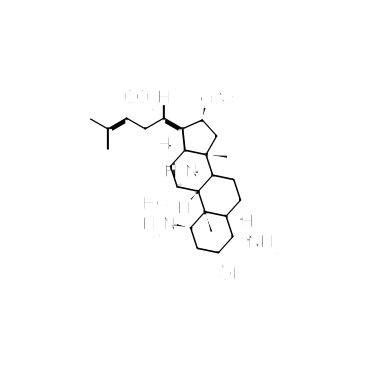 CC(=O)O[C@H]1C[C@@]2(C)[C@@H](C[C@@H](O)[C@H]3[C@@]4(C)[C@H](N)C[C@@H](O)[C@@H](N)[C@@H]4CC[C@@]32N)/C1=C(\CC=C(C)C)C(=O)O